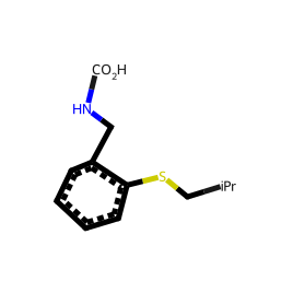 CC(C)CSc1ccccc1CNC(=O)O